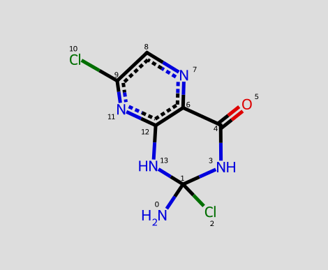 NC1(Cl)NC(=O)c2ncc(Cl)nc2N1